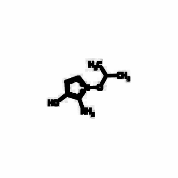 CC(C)On1ccc(O)c1N